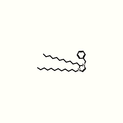 CCCCCCCCCCCCN1C=CN(Cc2ccccc2)C1CCCCCCCCCCC